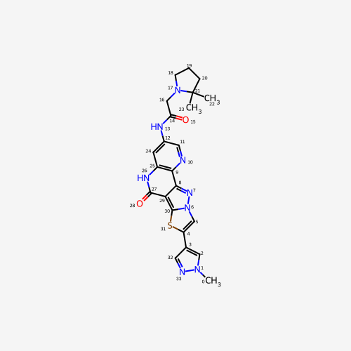 Cn1cc(-c2cn3nc4c5ncc(NC(=O)CN6CCCC6(C)C)cc5[nH]c(=O)c4c3s2)cn1